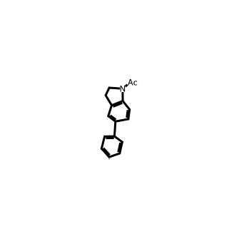 CC(=O)N1CCc2cc(-c3cc[c]cc3)ccc21